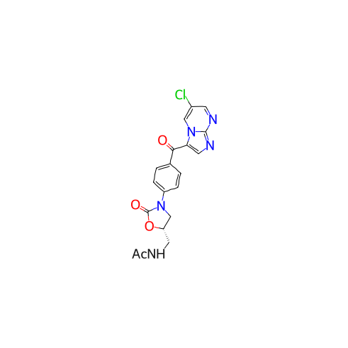 CC(=O)NC[C@H]1CN(c2ccc(C(=O)c3cnc4ncc(Cl)cn34)cc2)C(=O)O1